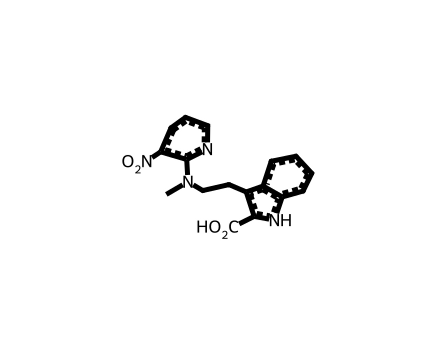 CN(CCc1c(C(=O)O)[nH]c2ccccc12)c1ncccc1[N+](=O)[O-]